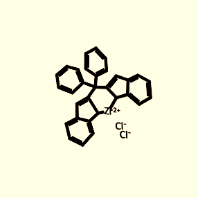 C1=C2[CH]([Zr+2][CH]3C(=Cc4ccccc43)C2(c2ccccc2)c2ccccc2)c2ccccc21.[Cl-].[Cl-]